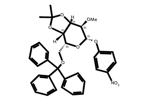 CO[C@H]1[C@H](Oc2ccc([N+](=O)[O-])cc2)O[C@H](COC(c2ccccc2)(c2ccccc2)c2ccccc2)[C@@H]2OC(C)(C)O[C@@H]21